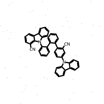 N#Cc1cc(-n2c3ccccc3c3ccccc32)ccc1-c1ccccc1-c1ccccc1-n1c2ccccc2c2cccc(C#N)c21